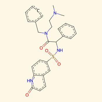 CN(C)CCN(Cc1ccccc1)C(=O)C(NS(=O)(=O)c1ccc2[nH]c(=O)ccc2c1)c1ccccc1